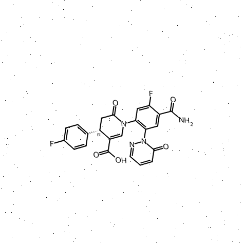 NC(=O)c1cc(-n2ncccc2=O)c(N2C=C(C(=O)O)[C@H](c3ccc(F)cc3)CC2=O)cc1F